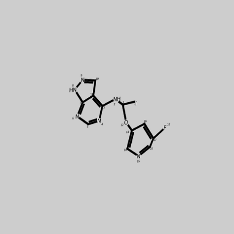 [CH2]C(Nc1ncnc2[nH]ncc12)Oc1cncc(F)c1